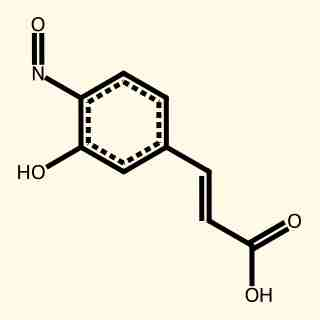 O=Nc1ccc(/C=C/C(=O)O)cc1O